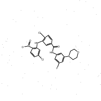 O=C(Nc1cc(F)cc(N2CCOCC2)c1)c1ccc(Cl)c(Nc2cc(Cl)ccc2[N+](=O)[O-])c1